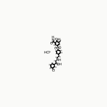 Cc1cc(S(=O)(=O)c2ccc(CCNC[C@H](O)c3cccc(Cl)c3)cc2)cc(C(N)=O)c1O.Cl